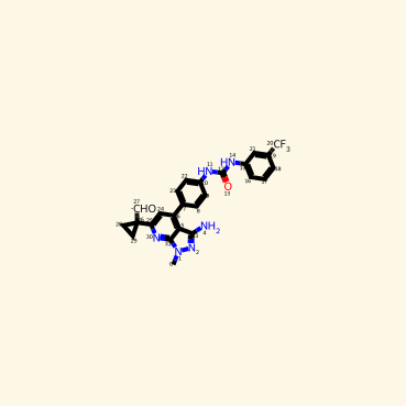 Cn1nc(N)c2c(-c3ccc(NC(=O)Nc4cccc(C(F)(F)F)c4)cc3)cc(C3([C]=O)CC3)nc21